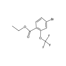 CCOC(=O)c1ccc(Br)cc1OC(F)(F)F